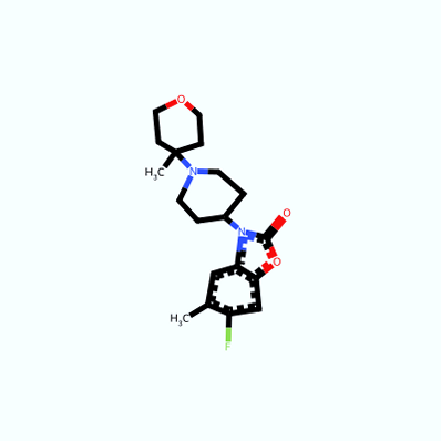 Cc1cc2c(cc1F)oc(=O)n2C1CCN(C2(C)CCOCC2)CC1